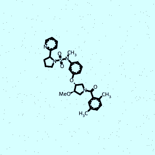 CO[C@@H]1CN(C(=O)c2cc(C)ccc2C)C[C@H]1Oc1cccc(N(C)S(=O)(=O)N2CCCC2c2ccccn2)c1